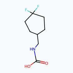 O=C(O)NCC1CCC(F)(F)CC1